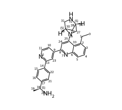 CCc1cccc2nc(-c3ccnc(-c4ccc([C@H](C)N)cc4)c3)cc(N3C[C@@H]4C[C@H]3CN4)c12